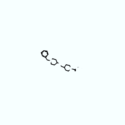 CC(C)(C)OC(=O)N1CCC(COC2CCN(Cc3ccccc3)CC2)CC1